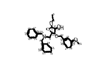 CCOC1OC(CN(Cc2ccccc2)Cc2ccccc2)C(OCc2cccc(OC)c2)C1O